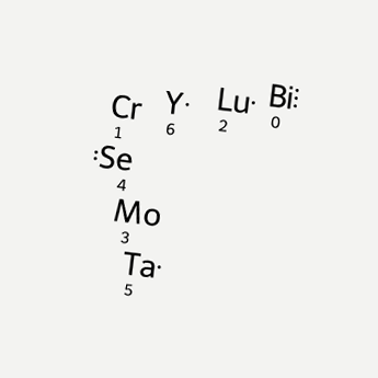 [Bi].[Cr].[Lu].[Mo].[Se].[Ta].[Y]